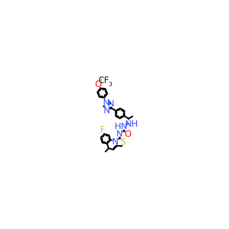 CC1C=C2CS/C(=N\C(=O)NNC(C)c3ccc(-c4ncn(-c5ccc(OC(F)(F)F)cc5)n4)cc3)N2c2cc(F)ccc21